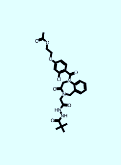 CC(=O)OCCOc1ccc(C(=O)N2CC(=O)N(CC(=O)NNC(=O)C(C)(C)C)Cc3ccccc32)c(Cl)c1